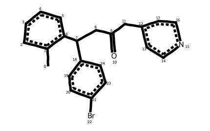 Cc1ccccc1C(CC(=O)Cc1ccncc1)c1ccc(Br)cc1